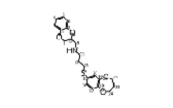 c1ccc2c(c1)OCC(CNCCCSc1ccc3c(c1)OCCCO3)O2